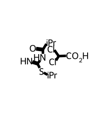 CC(C)SC(=N)NC(=O)C(C)C.O=C(O)C(Cl)Cl